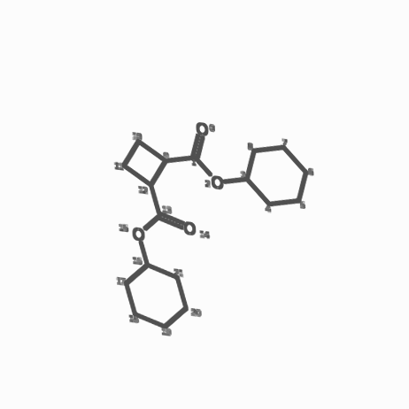 O=C(OC1CCCCC1)C1CCC1C(=O)OC1CCCCC1